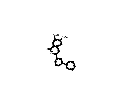 COc1cc2cc(-c3cccc(-c4ccccc4)c3)[nH]c(=O)c2cc1OC